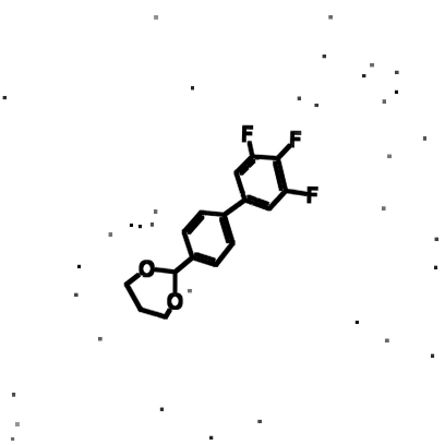 Fc1cc(-c2ccc(C3OCCCO3)cc2)cc(F)c1F